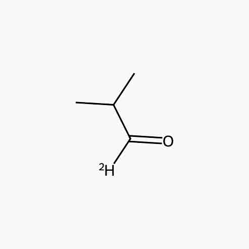 [2H]C(=O)C(C)C